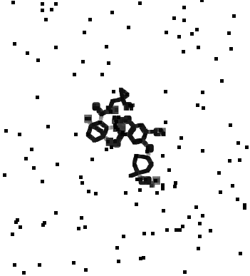 COc1cc(C#N)c(O[C@H]2CC[C@@](C)(C(=O)O)CC2)cc1C(=O)N[C@@H]1[C@H]2CC[C@H](C2)[C@@H]1C(=O)NCC1(C(C)C)CC1